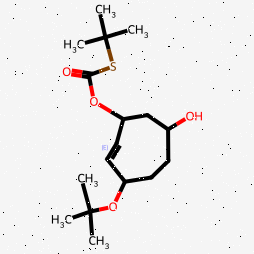 CC(C)(C)OC1/C=C/C(OC(=O)SC(C)(C)C)CC(O)CC1